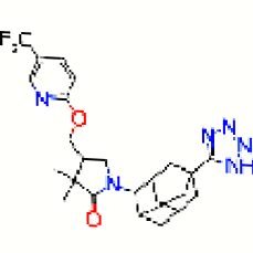 CC1(C)C(=O)N(C2C3CC4CC2CC(c2nnn[nH]2)(C4)C3)CC1COc1ccc(C(F)(F)F)cn1